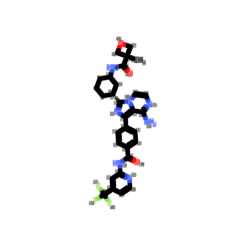 CC1(C(=O)NC2CCC[C@@H](c3nc(-c4ccc(C(=O)Nc5cc(C(F)(F)F)ccn5)cc4)c4c(N)nccn34)C2)COC1